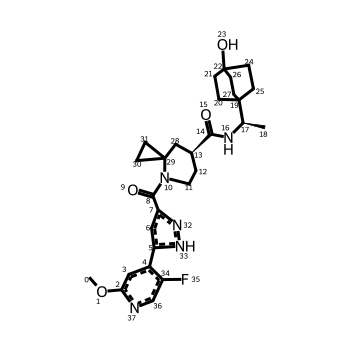 COc1cc(-c2cc(C(=O)N3CC[C@H](C(=O)N[C@H](C)C45CCC(O)(CC4)CC5)CC34CC4)n[nH]2)c(F)cn1